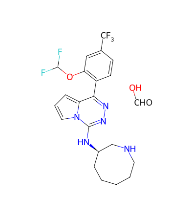 FC(F)Oc1cc(C(F)(F)F)ccc1-c1nnc(N[C@@H]2CCCCCNC2)n2cccc12.O=CO